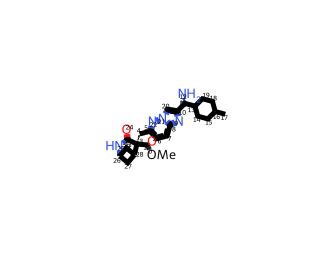 COC(=O)[C@]1(Cc2ccc3nc([C@@H](N)C4CCC(C)CC4)cn3n2)C(=O)NC2CC1C2